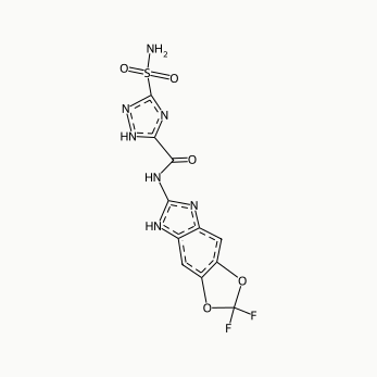 NS(=O)(=O)c1n[nH]c(C(=O)Nc2nc3cc4c(cc3[nH]2)OC(F)(F)O4)n1